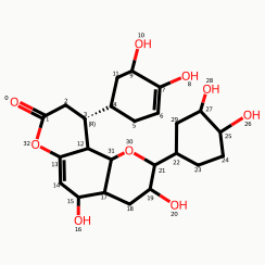 O=C1C[C@H](C2CC=C(O)C(O)C2)C2C(=CC(O)C3CC(O)C(C4CCC(O)C(O)C4)OC32)O1